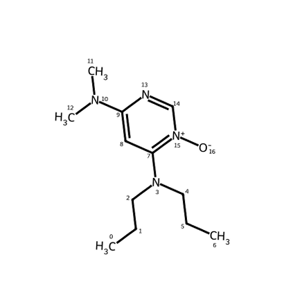 CCCN(CCC)c1cc(N(C)C)nc[n+]1[O-]